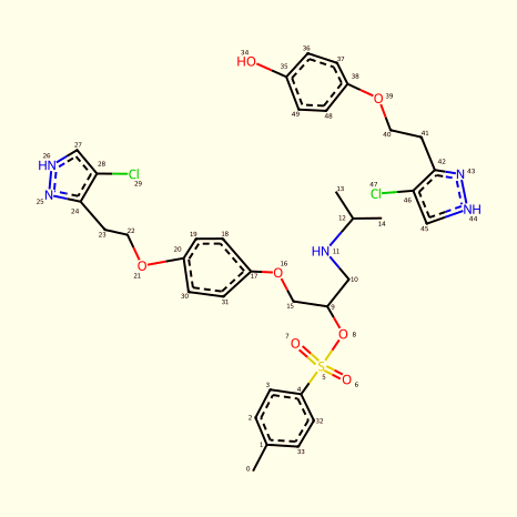 Cc1ccc(S(=O)(=O)OC(CNC(C)C)COc2ccc(OCCc3n[nH]cc3Cl)cc2)cc1.Oc1ccc(OCCc2n[nH]cc2Cl)cc1